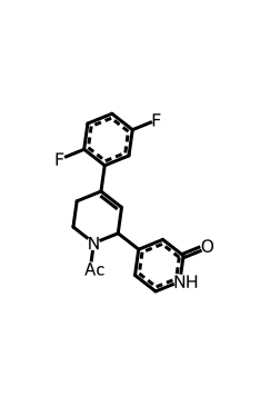 CC(=O)N1CCC(c2cc(F)ccc2F)=CC1c1cc[nH]c(=O)c1